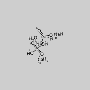 O.O=S(=O)(O)O.O=[Si](O)O.[CaH2].[NaH]